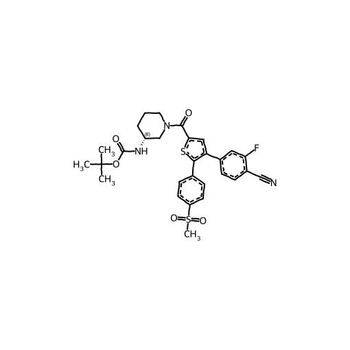 CC(C)(C)OC(=O)N[C@@H]1CCCN(C(=O)c2cc(-c3ccc(C#N)c(F)c3)c(-c3ccc(S(C)(=O)=O)cc3)s2)C1